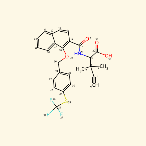 C#CC(C)(C)C(NC(=O)c1ccc2ccccc2c1OCc1ccc(SC(F)(F)F)cc1)C(=O)O